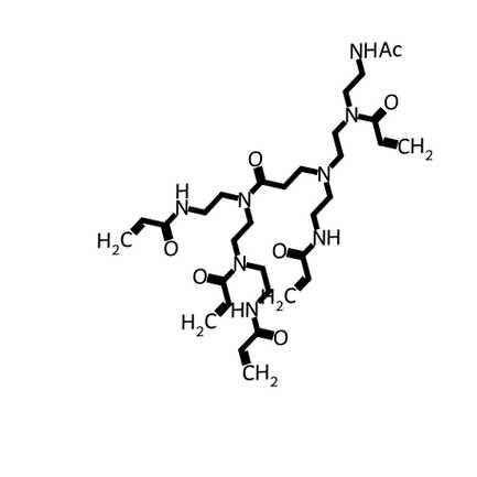 C=CC(=O)NCCN(CCC(=O)N(CCNC(=O)C=C)CCN(CCNC(=O)C=C)C(=O)C=C)CCN(CCNC(C)=O)C(=O)C=C